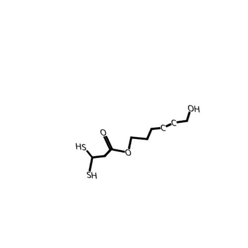 O=C(CC(S)S)OCCCCCCO